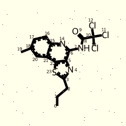 CCCc1nc2c(NC(=O)C(Cl)(Cl)Cl)nc3ccc(C)cc3c2s1